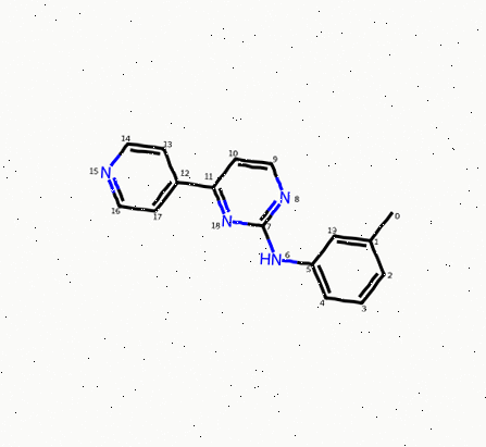 Cc1cccc(Nc2nccc(-c3ccncc3)n2)c1